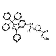 CC(C)(C)OC(=O)N1CC[C@@H](C(=O)Nc2ccc3c(c2)c(-c2ccncc2)nn3C(c2ccccc2)(c2ccccc2)c2ccccc2)C1